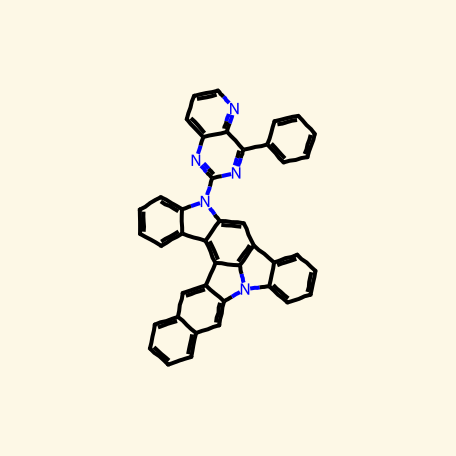 c1ccc(-c2nc(-n3c4ccccc4c4c5c6cc7ccccc7cc6n6c7ccccc7c(cc43)c56)nc3cccnc23)cc1